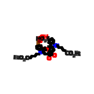 CCOC(=O)CCCCCN1/C(=C/C2=C(O)C(=C\C3=[N+](CCCCCC(=O)OCC)c4ccc(S(=O)(=O)O)cc4C3(C)C)/C(=O)C2=O)C(C)(C)c2cc(SOOO)ccc21